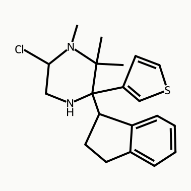 CN1C(Cl)CNC(c2ccsc2)(C2CCc3ccccc32)C1(C)C